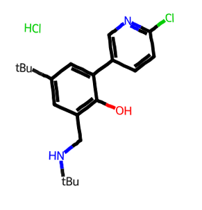 CC(C)(C)NCc1cc(C(C)(C)C)cc(-c2ccc(Cl)nc2)c1O.Cl